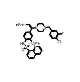 CCCCC/C=C(\c1ccc(NS(=O)(=O)c2cccc3cccnc23)c(OC)c1)N1CCN(Cc2ccc(Cl)c(F)c2)CC1